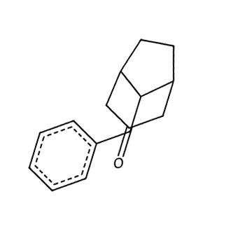 O=C1CC2CCC(C1)C2Cc1ccccc1